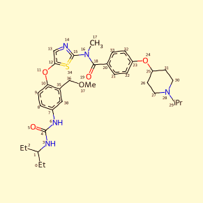 CCC(CC)NC(=O)Nc1ccc(Oc2cnc(N(C)C(=O)c3ccc(OC4CCN(C(C)C)CC4)cc3)s2)c(COC)c1